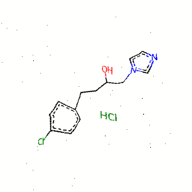 Cl.OC(CCc1ccc(Cl)cc1)Cn1ccnc1